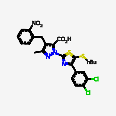 CCCCSc1sc(-n2nc(C)c(Cc3ccccc3[N+](=O)[O-])c2C(=O)O)nc1-c1ccc(Cl)c(Cl)c1